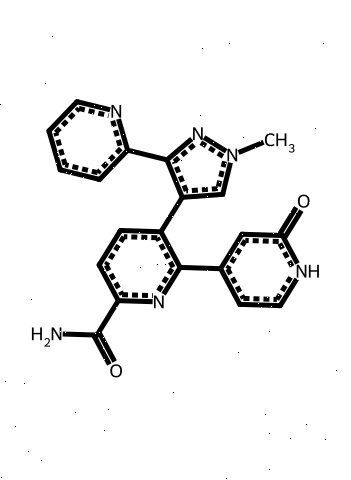 Cn1cc(-c2ccc(C(N)=O)nc2-c2cc[nH]c(=O)c2)c(-c2ccccn2)n1